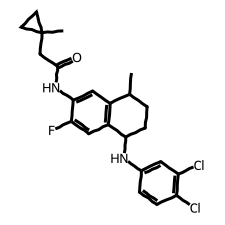 CC1CCC(Nc2ccc(Cl)c(Cl)c2)c2cc(F)c(NC(=O)CC3(C)CC3)cc21